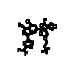 C[Si](C)(C)CCOCN(C1(CF)COC1)S(=O)(=O)c1cc(Cl)c2c(Br)nc(-c3nnc(C(F)F)s3)n2c1